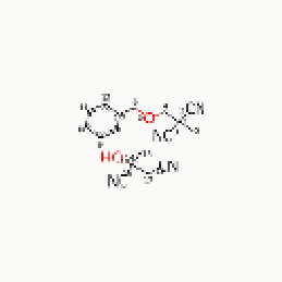 CC(C#N)(C#N)COCc1ccccc1.CC(O)(C#N)CC#N